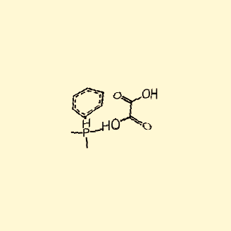 C[PH](C)(C)c1ccccc1.O=C(O)C(=O)O